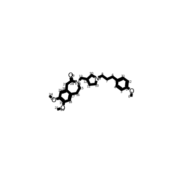 COc1ccc(CCCN2CCC(CN3CCc4cc(OC)c(OC)cc4CC3=O)C2)cc1